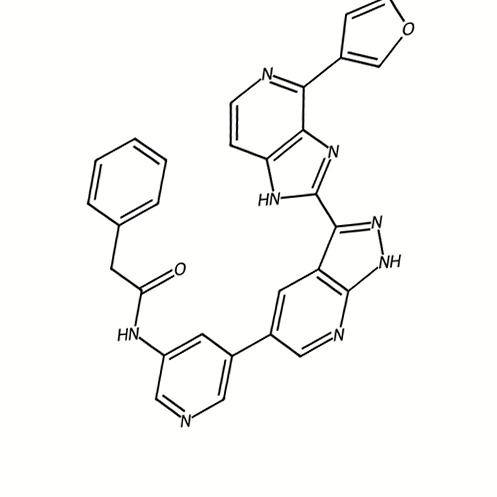 O=C(Cc1ccccc1)Nc1cncc(-c2cnc3[nH]nc(-c4nc5c(-c6ccoc6)nccc5[nH]4)c3c2)c1